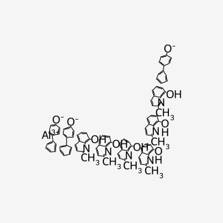 Cc1ccc2cccc(O)c2n1.Cc1ccc2cccc(O)c2n1.Cc1ccc2cccc(O)c2n1.Cc1ccc2cccc(O)c2n1.Cc1ccc2cccc(O)c2n1.Cc1ccc2cccc(O)c2n1.[Al+3].[O-]c1ccc(-c2ccccc2)cc1.[O-]c1ccc(-c2ccccc2)cc1.[O-]c1ccc(-c2ccccc2)cc1